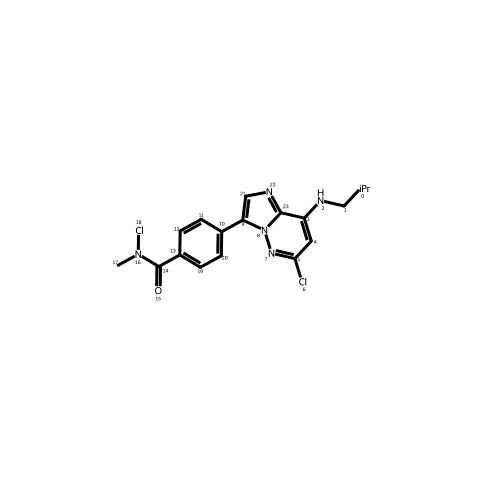 CC(C)CNc1cc(Cl)nn2c(-c3ccc(C(=O)N(C)Cl)cc3)cnc12